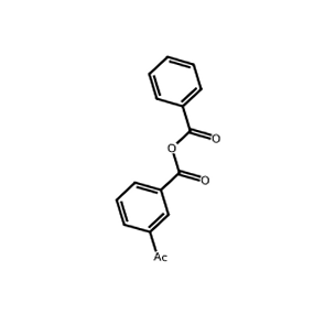 CC(=O)c1cccc(C(=O)OC(=O)c2ccccc2)c1